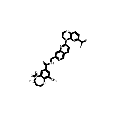 Cc1cc(C(=O)NCc2cc3nc(N4CCOc5ccc(C(F)F)nc54)ccc3cn2)cc2c1OCC[C@H](F)S2(=O)=O